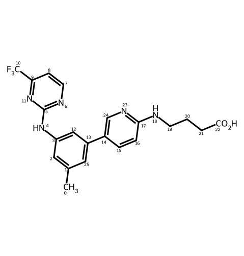 Cc1cc(Nc2nccc(C(F)(F)F)n2)cc(-c2ccc(NCCCC(=O)O)nc2)c1